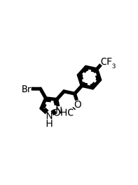 O=COC(Cc1n[nH]cc1CBr)c1ccc(C(F)(F)F)cc1